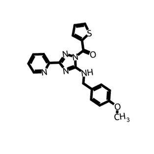 COc1ccc(CNc2nc(-c3ccccn3)nn2C(=O)c2cccs2)cc1